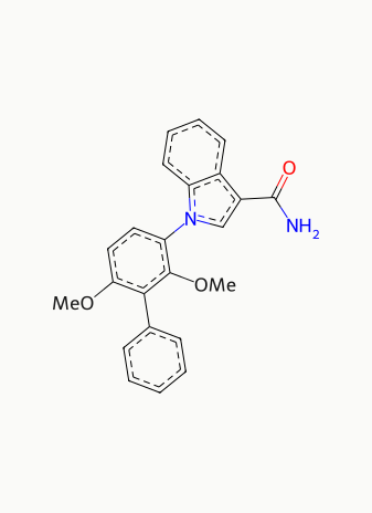 COc1ccc(-n2cc(C(N)=O)c3ccccc32)c(OC)c1-c1ccccc1